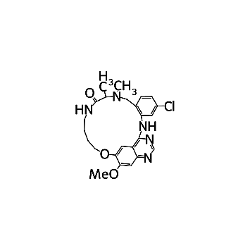 COc1cc2ncnc3c2cc1OCCCCNC(=O)C(C)N(C)Cc1ccc(Cl)cc1N3